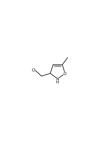 CC1=CC(CCl)NO1